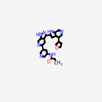 CCC(=O)Nc1cncc(-c2cc3c(-c4cc5c(-c6ccoc6)cncc5[nH]4)n[nH]c3cn2)c1